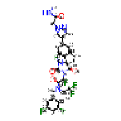 CNC(=O)Cn1cc(-c2ccc3c(c2)CC[C@@]32C(=O)N(CC(=O)N(Cc3cc(F)cc(F)c3)[C@@H](C)C(F)(F)F)C(=O)N2F)cn1